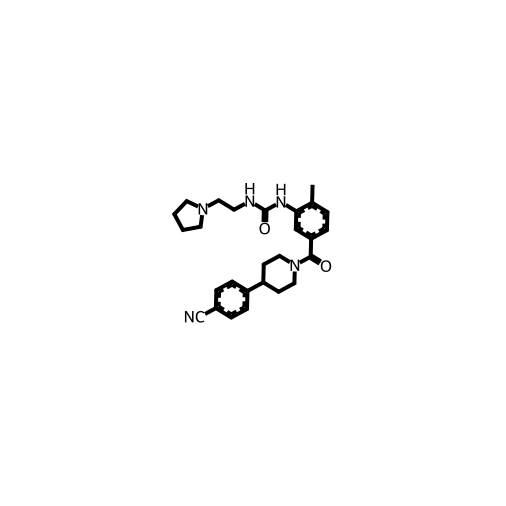 Cc1ccc(C(=O)N2CCC(c3ccc(C#N)cc3)CC2)cc1NC(=O)NCCN1CCCC1